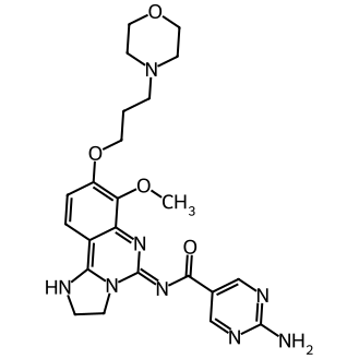 COc1c(OCCCN2CCOCC2)ccc2c3n(c(=NC(=O)c4cnc(N)nc4)nc12)CCN3